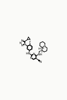 N#Cc1cnc(Nc2ccc(F)c(-n3nnnc3C3CC3)c2)nc1NC[C@@H]1CCCN2CCCC[C@H]12